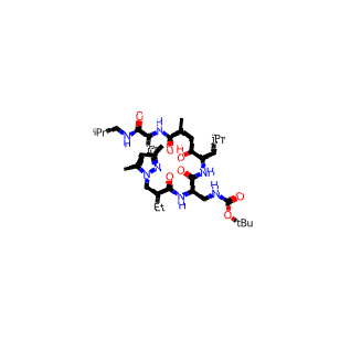 CCC(Cn1nc(C)cc1C)C(=O)NC(CNC(=O)OC(C)(C)C)C(=O)NC(CC(C)C)C(O)CC(C)C(=O)NC(C(=O)NCC(C)C)C(C)C